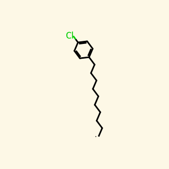 [CH2]CCCCCCCCCc1ccc(Cl)cc1